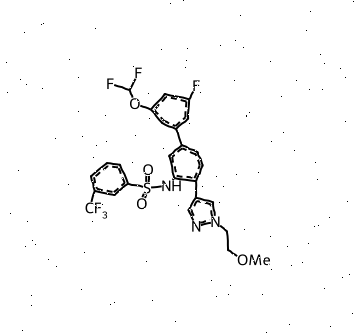 COCCn1cc(-c2ccc(-c3cc(F)cc(OC(F)F)c3)cc2NS(=O)(=O)c2cccc(C(F)(F)F)c2)cn1